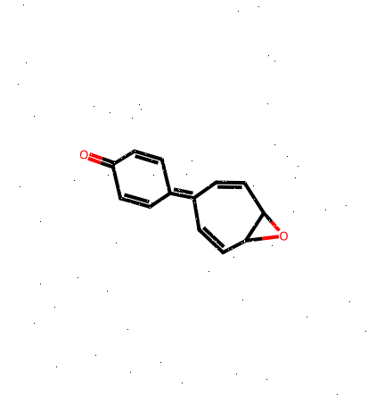 O=C1C=CC(=C2C=CC3OC3C=C2)C=C1